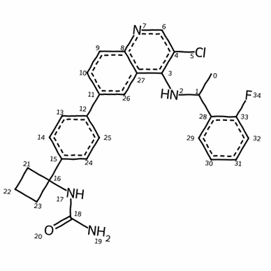 CC(Nc1c(Cl)cnc2ccc(-c3ccc(C4(NC(N)=O)CCC4)cc3)cc12)c1ccccc1F